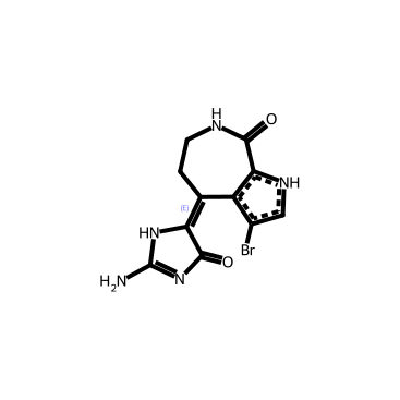 NC1=NC(=O)/C(=C2/CCNC(=O)c3[nH]cc(Br)c32)N1